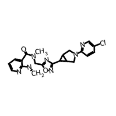 C=Nc1ncccc1C(=O)N(C)Cc1nc(C2C3CN(c4ccc(Cl)cn4)CC32)no1